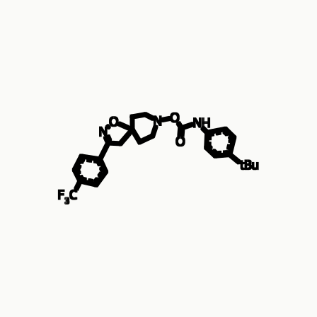 CC(C)(C)c1ccc(NC(=O)ON2CCC3(CC2)CC(c2ccc(C(F)(F)F)cc2)=NO3)cc1